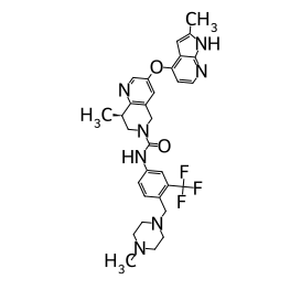 Cc1cc2c(Oc3cnc4c(c3)CN(C(=O)Nc3ccc(CN5CCN(C)CC5)c(C(F)(F)F)c3)C[C@H]4C)ccnc2[nH]1